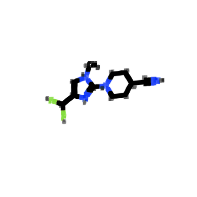 Cn1cc(C(F)F)nc1N1CCC(C#N)CC1